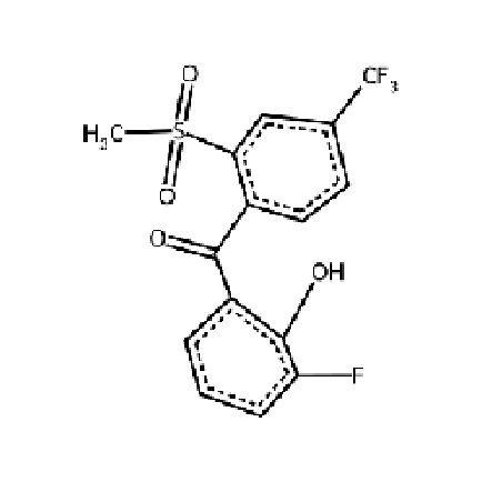 CS(=O)(=O)c1cc(C(F)(F)F)ccc1C(=O)c1cccc(F)c1O